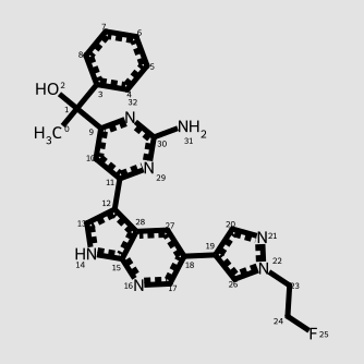 CC(O)(c1ccccc1)c1cc(-c2c[nH]c3ncc(-c4cnn(CCF)c4)cc23)nc(N)n1